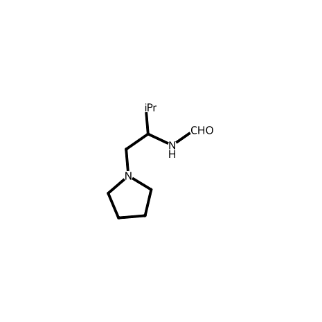 CC(C)C(CN1CCCC1)NC=O